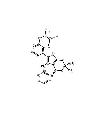 CC(Nc1cc(-c2[nH]c3c(c2Nc2ccccc2)C(=O)CC(C)(C)C3)ccn1)C(F)F